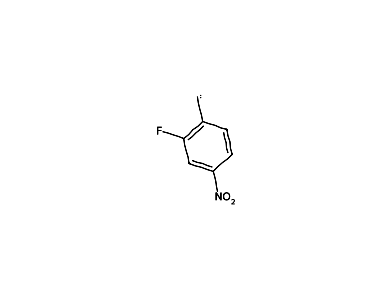 [CH]c1ccc([N+](=O)[O-])cc1F